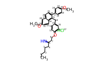 CCCCCC(=N)CCOc1ccc(Cc2c(-c3ccc(OC)cc3)ccc3cc(OC)ccc23)cc1.Cl